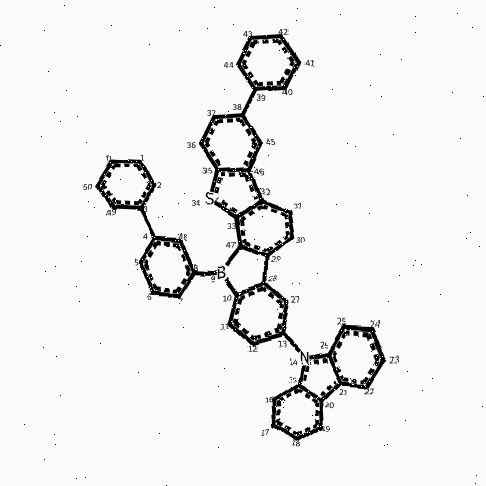 c1ccc(-c2cccc(B3c4ccc(-n5c6ccccc6c6ccccc65)cc4-c4ccc5c(sc6ccc(-c7ccccc7)cc65)c43)c2)cc1